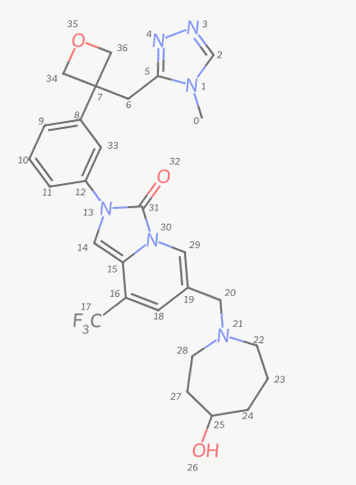 Cn1cnnc1CC1(c2cccc(-n3cc4c(C(F)(F)F)cc(CN5CCCC(O)CC5)cn4c3=O)c2)COC1